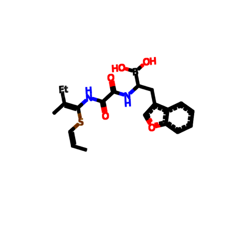 C/C=C\S/C(NC(=O)C(=O)NC(Cc1coc2ccccc12)B(O)O)=C(\C)CC